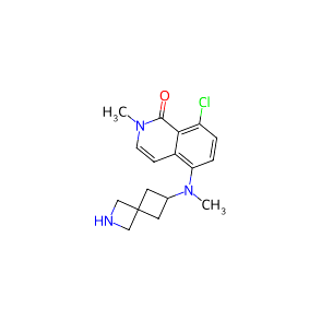 CN(c1ccc(Cl)c2c(=O)n(C)ccc12)C1CC2(CNC2)C1